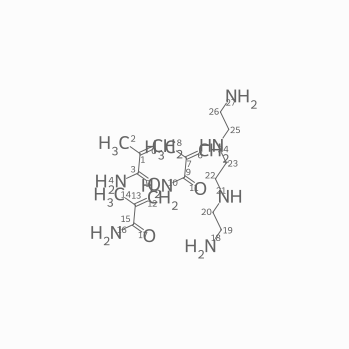 C=C(C)C(N)=O.C=C(C)C(N)=O.C=C(C)C(N)=O.NCCNCCNCCN